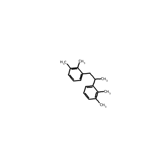 Cc1cccc(CC(C)c2cccc(C)c2C)c1C